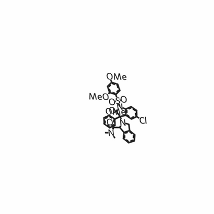 COc1ccc(S(=O)(=O)N2C(=O)C(c3ccccc3OC)(N3Cc4ccccc4C3C(=O)N(C)C)c3cc(Cl)ccc32)c(OC)c1